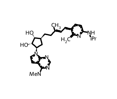 C=c1nc(NC(C)C)cc/c1=C/C=C(\C)CC[C@H]1C[C@@H](n2ccc3c(NC)ncnc32)[C@H](O)[C@@H]1O